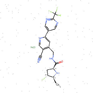 C[C@@H]1N[C@H](C(=O)NCc2cc(-c3cnc(C(F)(F)F)nc3)ncc2C#N)C[C@H]1F.Cl